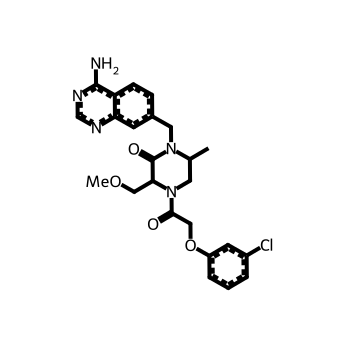 COCC1C(=O)N(Cc2ccc3c(N)ncnc3c2)C(C)CN1C(=O)COc1cccc(Cl)c1